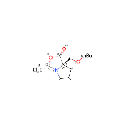 CCCCOC[C@@]12CCCN1[C@H](C(Cl)(Cl)Cl)OC2=O